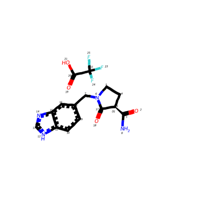 NC(=O)[C@@H]1CCN(Cc2ccc3[nH]cnc3c2)C1=O.O=C(O)C(F)(F)F